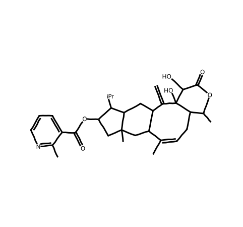 C=C1C2CC3C(C(C)C)C(OC(=O)c4cccnc4C)CC3(C)CC2C(C)=CCC2C(C)OC(=O)C(O)C12O